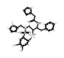 O=C(Cc1cccs1)NC(Cc1ccccc1)C(O)CN(Cc1cccs1)S(=O)(=O)c1cc(F)c(F)cc1F